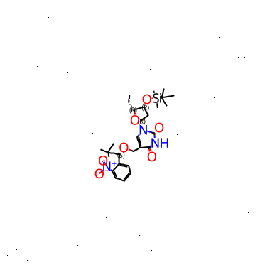 CC[C@H]1O[C@@H](n2cc(CO[C@H](c3ccccc3[N+](=O)[O-])C(C)(C)C)c(=O)[nH]c2=O)C[C@H]1O[Si](C)(C)C(C)(C)C